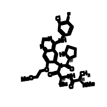 CN[C@@H](C)C(=O)N[C@H](C(=O)N(C(=O)[C@@H]1CCCN1)c1cc2c(Nc3ccc(F)c(Cl)c3)ncnc2cc1OCCOC)C(C)(C)C